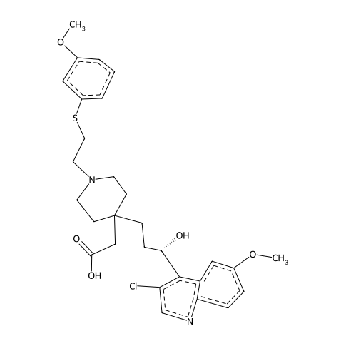 COc1cccc(SCCN2CCC(CC[C@H](O)c3c(Cl)cnc4ccc(OC)cc34)(CC(=O)O)CC2)c1